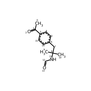 CC(=O)c1ccc(CC(C)(C)NC=O)cc1